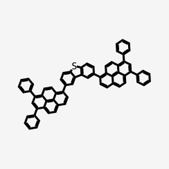 c1ccc(-c2cc(-c3ccccc3)c3ccc4c(-c5ccc6sc7ccc(-c8ccc9ccc%10c(-c%11ccccc%11)cc(-c%11ccccc%11)c%11ccc8c9c%10%11)cc7c6c5)ccc5ccc2c3c54)cc1